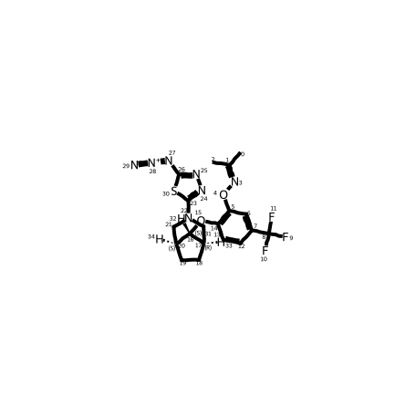 CC(C)=NOc1cc(C(F)(F)F)ccc1O[C@@H]1[C@@H]2CC[C@H]1CN(c1nnc(N=[N+]=[N-])s1)C2